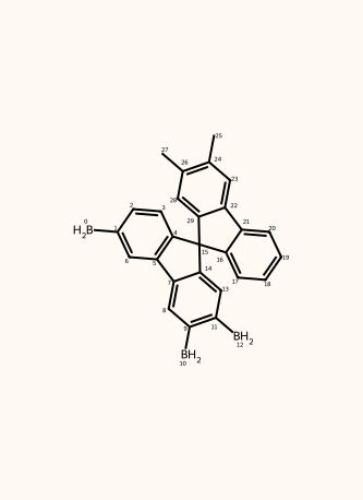 Bc1ccc2c(c1)-c1cc(B)c(B)cc1C21c2ccccc2-c2cc(C)c(C)cc21